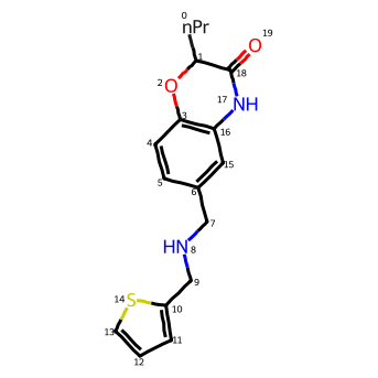 CCCC1Oc2ccc(CNCc3cccs3)cc2NC1=O